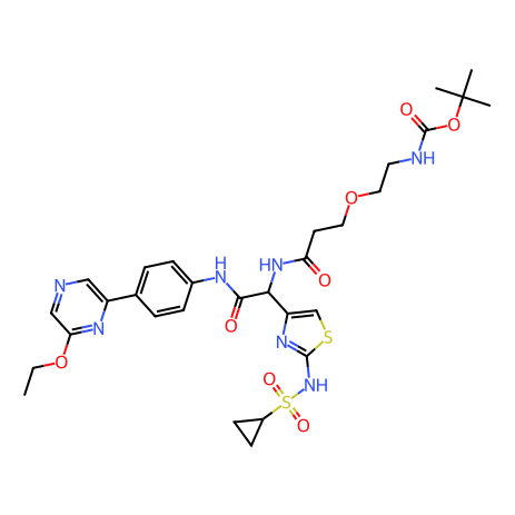 CCOc1cncc(-c2ccc(NC(=O)C(NC(=O)CCOCCNC(=O)OC(C)(C)C)c3csc(NS(=O)(=O)C4CC4)n3)cc2)n1